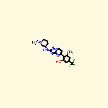 Cc1cc(C(F)(F)F)cc(O)c1-c1ccn2nc(NC3CCCN(C)C3)nc2n1